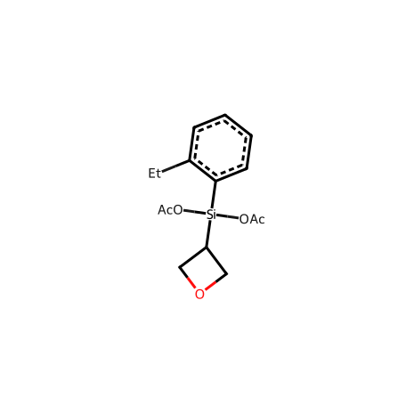 CCc1ccccc1[Si](OC(C)=O)(OC(C)=O)C1COC1